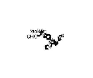 CNC(=O)C(CCC=O)N1Cc2cc(-c3nc(CN4CCCC4)c4ccn(C5C[S+]([O-])C5)c4n3)ccc2C1=O